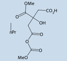 CCCC.COC(=O)OC(=O)CC(O)(CC(=O)O)C(=O)OC